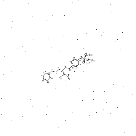 COC(=O)C(CCCc1ccccc1)CCc1ccc(OS(=O)(=O)C(F)(F)F)cc1